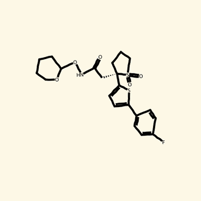 O=C(C[C@]1(c2ccc(-c3ccc(F)cc3)s2)CCCS1(=O)=O)NOC1CCCCO1